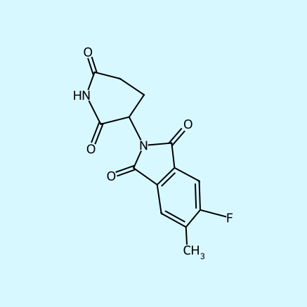 Cc1cc2c(cc1F)C(=O)N(C1CCC(=O)NC1=O)C2=O